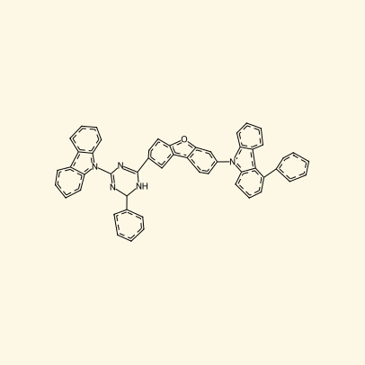 c1ccc(-c2cccc3c2c2ccccc2n3-c2ccc3c(c2)oc2ccc(C4=NC(n5c6ccccc6c6ccccc65)=NC(c5ccccc5)N4)cc23)cc1